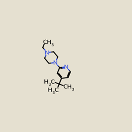 CCN1CCN(c2cc(C(C)(C)C)ccn2)CC1